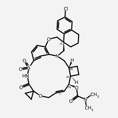 CN(C)C(=O)O[C@H]1/C=C/COC2(CC2)C(=O)NS(=O)(=O)c2ccc3c(c2)N(C[C@@H]2CC[C@H]21)C[C@@]1(CCCc2cc(Cl)ccc21)CO3